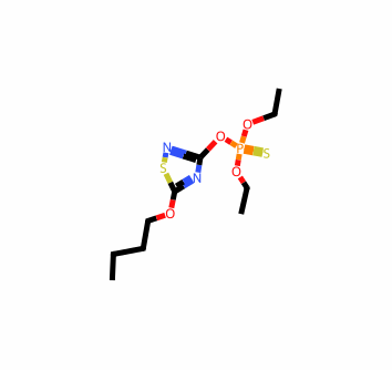 CCCCOc1nc(OP(=S)(OCC)OCC)ns1